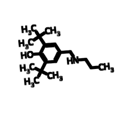 CCCNCc1cc(C(C)(C)C)c(O)c(C(C)(C)C)c1